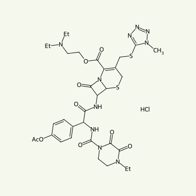 CCN(CC)CCOC(=O)C1=C(CSc2nnnn2C)CSC2C(NC(=O)C(NC(=O)N3CCN(CC)C(=O)C3=O)c3ccc(OC(C)=O)cc3)C(=O)N12.Cl